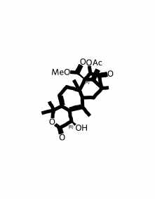 C=C1C2(C)CC3C(C)=C4C(=CCC3(C)[C@]1(C(=O)OC)C(OC(C)=O)C2=O)C(C)(C)OC(=O)[C@@H]4O